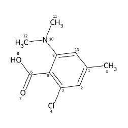 Cc1cc(Cl)c(C(=O)O)c(N(C)C)c1